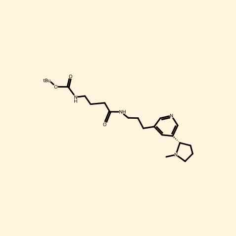 CN1CCC[C@H]1c1cncc(CCCNC(=O)CCCNC(=O)OC(C)(C)C)c1